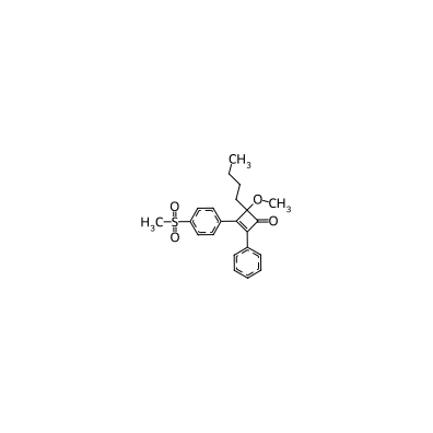 CCCCC1(OC)C(=O)C(c2ccccc2)=C1c1ccc(S(C)(=O)=O)cc1